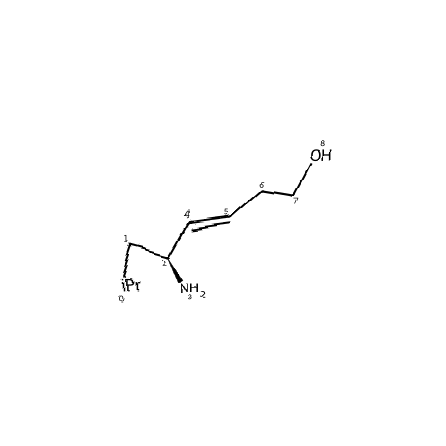 CC(C)C[C@H](N)/C=C/CCO